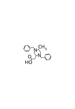 CC1CN(Cc2ccccc2)C(CC(=O)O)CN1Cc1ccccc1